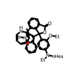 CCCCCCN(CC)c1ccc(C2(c3c(C)n(CC)c4ccccc34)OC(=O)c3cccc(C4=CC=CC=CN4)c32)c(OCC)c1